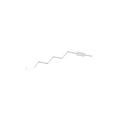 C[CH]CCCCCCCCC#CCC